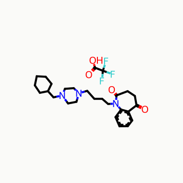 O=C(O)C(F)(F)F.O=C1CCC(=O)N(CCCCN2CCN(CC3CCCCC3)CC2)c2ccccc21